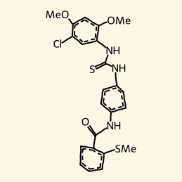 COc1cc(OC)c(NC(=S)Nc2ccc(NC(=O)c3ccccc3SC)cc2)cc1Cl